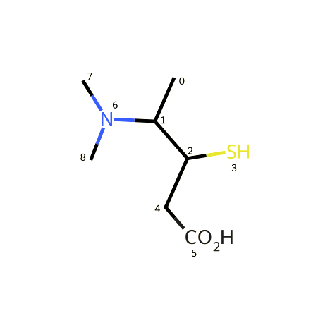 CC(C(S)CC(=O)O)N(C)C